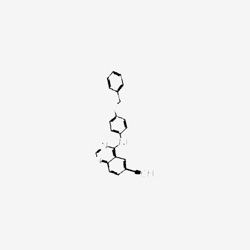 C#Cc1ccc2ncnc(Nc3ccc(OCc4ccccc4)cc3)c2c1